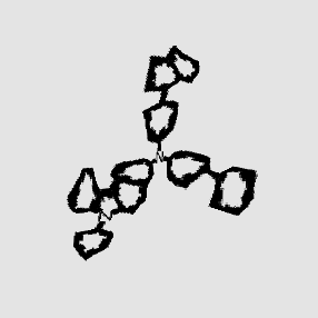 c1ccc(-c2ccc(N(c3ccc(-c4cccc5ccccc45)cc3)c3ccc4c(ccc5c4c4ccccc4n5-c4ccccc4)c3)cc2)cc1